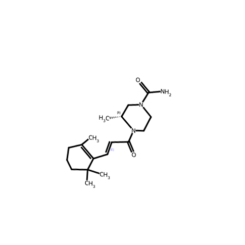 CC1=C(/C=C/C(=O)N2CCN(C(N)=O)C[C@H]2C)C(C)(C)CCC1